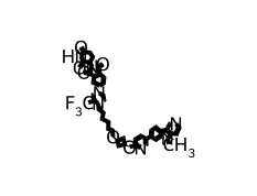 Cn1c2ccncc2c2ccc(-c3ccc(O[C@H]4C[C@H](OCCCCCCN5CCN(c6ccc7c(c6)C(=O)N(C6CCC(=O)NC6=O)C7=O)CC5C(F)(F)F)C4)nc3)cc21